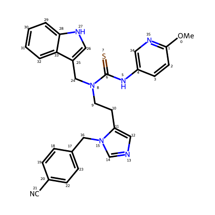 COc1ccc(NC(=S)N(CCc2cncn2Cc2ccc(C#N)cc2)Cc2c[nH]c3ccccc23)cn1